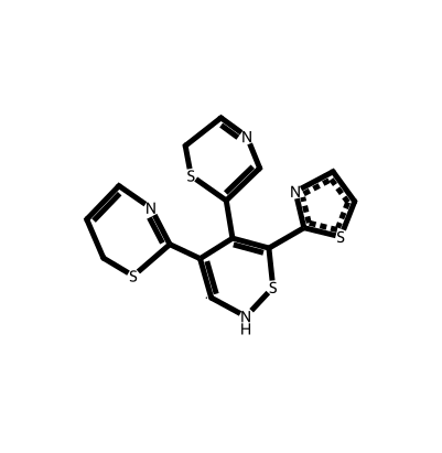 [C]1=C(C2=NC=CCS2)C(C2=CN=CCS2)=C(c2nccs2)SN1